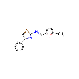 Cc1ccc(C=Nc2nc(-c3ccccc3)cs2)o1